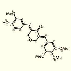 COc1cc(/C=C2\COC/C(=C\c3cc(OC)c(OC)c(OC)c3)C2=O)ccc1O